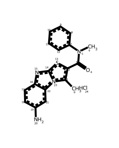 Cc1c(C(=O)N(C)c2ccccc2)sc2nc3ccc(N)cc3n12.Cl